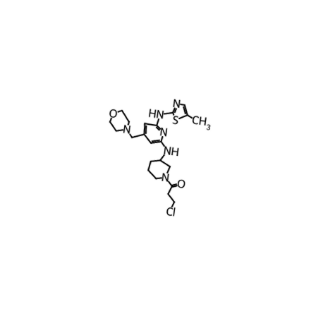 Cc1cnc(Nc2cc(CN3CCOCC3)cc(NC3CCCN(C(=O)CCCl)C3)n2)s1